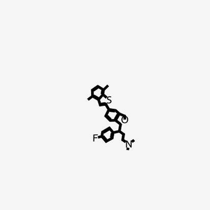 Cc1ccc(C)c2sc(-c3ccc4c(c3)COC4C(CCN(C)C)c3ccc(F)cc3)cc12